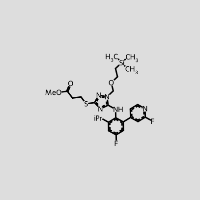 COC(=O)CCSc1nc(Nc2c(-c3ccnc(F)c3)cc(F)cc2C(C)C)n(COCC[Si](C)(C)C)n1